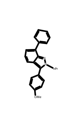 CCCn1nc2c(-c3ccccc3)cccc2c1-c1ccc(OC)cc1